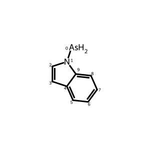 [AsH2]n1ccc2ccccc21